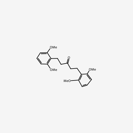 COc1cccc(OC)c1CCC(=O)CCc1c(OC)cccc1OC